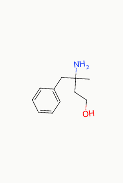 CC(N)(CCO)Cc1ccccc1